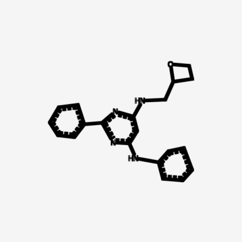 c1ccc(Nc2cc(NCC3CCO3)nc(-c3ccccc3)n2)cc1